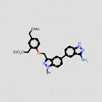 CCOC(=O)Cc1cc(COC)ccc1OCc1nn(C(C)C)c2ccc(-c3ccc4[nH]nc(N)c4c3)cc12